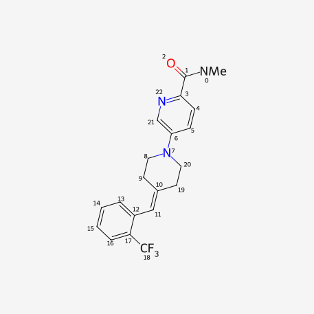 CNC(=O)c1ccc(N2CCC(=Cc3ccccc3C(F)(F)F)CC2)cn1